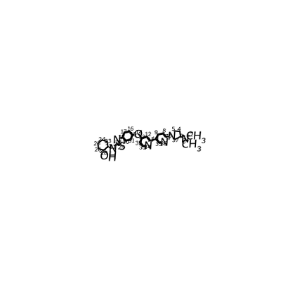 CN(C)[C@@H]1CCN(c2ccc(-c3cc(Oc4ccc5nc(N[C@@H]6CCCC[C@H]6O)sc5c4)ccn3)cn2)C1